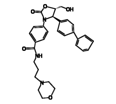 O=C(NCCCN1CCOCC1)c1ccc(N2C(=O)O[C@H](CO)[C@H]2c2ccc(-c3ccccc3)cc2)cc1